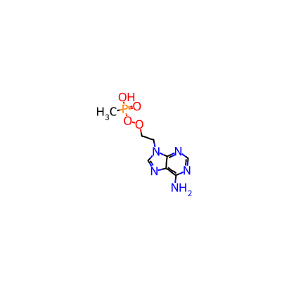 CP(=O)(O)OOCCn1cnc2c(N)ncnc21